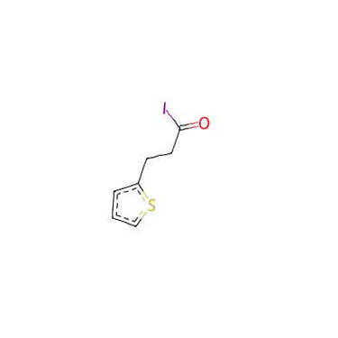 O=C(I)CCc1cccs1